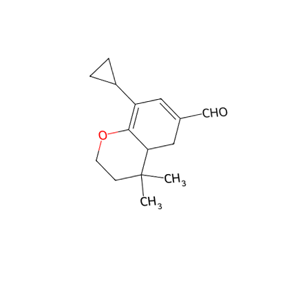 CC1(C)CCOC2=C(C3CC3)C=C(C=O)CC21